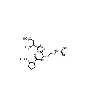 N=C(N)NCCC[C@H](NC(=O)N1CCC[C@@H]1C(=O)O)c1nc([C@@H](N)CC(=O)O)no1